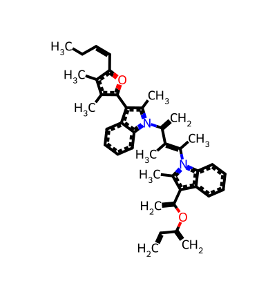 C=CC(=C)OC(=C)c1c(C)n(/C(C)=C(\C)C(=C)n2c(C)c(-c3oc(/C=C\CC)c(C)c3C)c3ccccc32)c2ccccc12